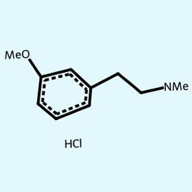 CNCCc1cccc(OC)c1.Cl